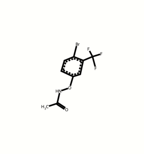 CC(=O)NOc1ccc(Br)c(C(F)(F)F)c1